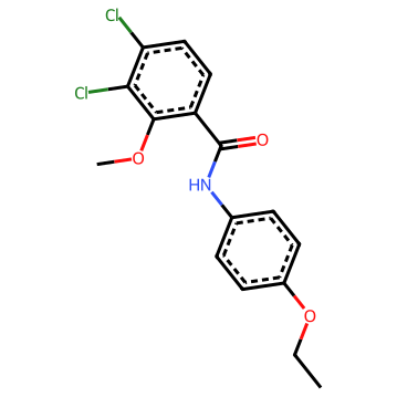 CCOc1ccc(NC(=O)c2ccc(Cl)c(Cl)c2OC)cc1